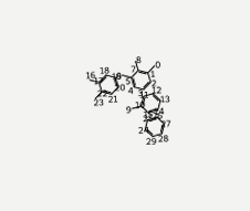 Cc1cccc(C)c1C.Cc1ccccc1.Cc1ccccc1C.c1ccccc1